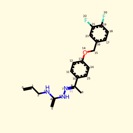 C=CCNC(=C)N/N=C(\C)c1ccc(OCc2ccc(F)c(F)c2)cc1